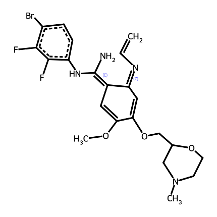 C=C/N=C1/C=C(OCC2CN(C)CCO2)C(OC)=C/C1=C(/N)Nc1ccc(Br)c(F)c1F